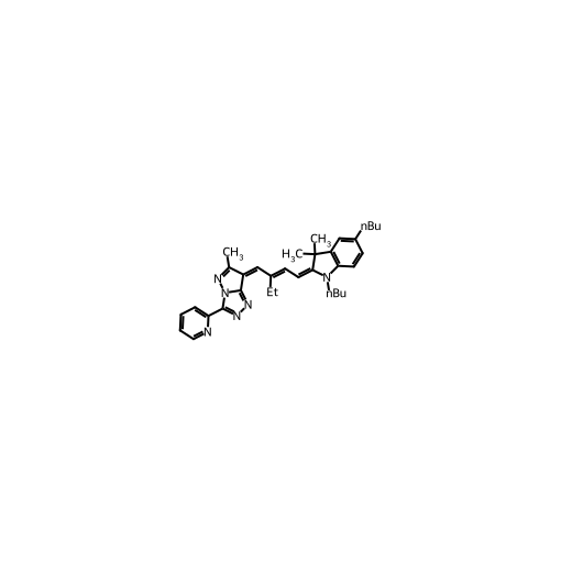 CCCCc1ccc2c(c1)C(C)(C)\C(=C/C=C(/C=c1/c(C)nn3c(-c4ccccn4)nnc13)CC)N2CCCC